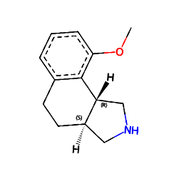 COc1cccc2c1[C@@H]1CNC[C@H]1CC2